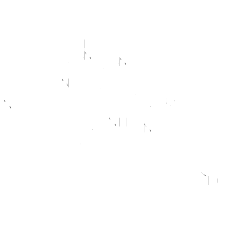 CC[C@H]1CC[C@H](NC(=O)c2cnc(Nc3ccc4cnccc4n3)cc2NC2CC2)CC1